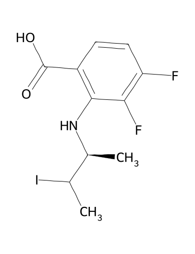 CC(I)[C@H](C)Nc1c(C(=O)O)ccc(F)c1F